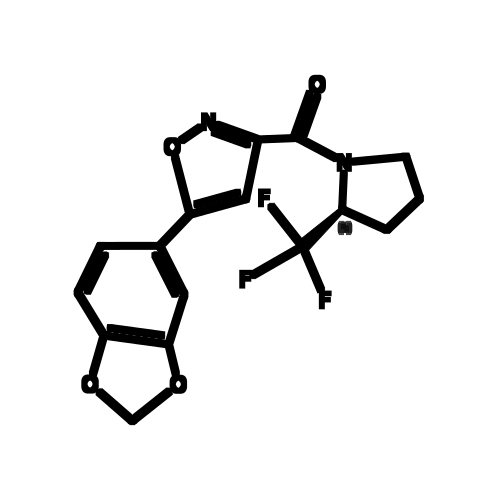 O=C(c1cc(-c2ccc3c(c2)OCO3)on1)N1CCC[C@H]1C(F)(F)F